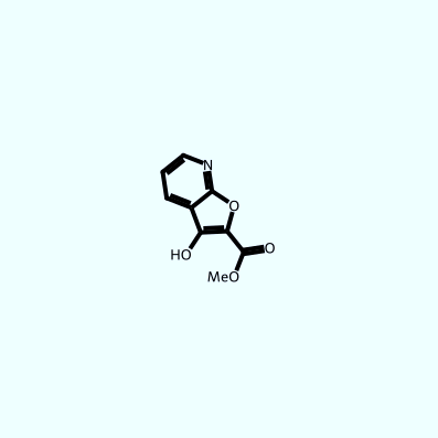 COC(=O)c1oc2ncccc2c1O